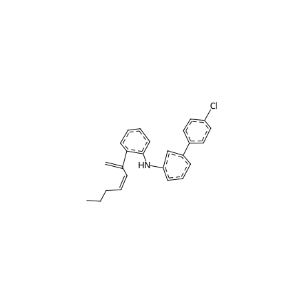 C=C(/C=C\CCC)c1ccccc1Nc1cccc(-c2ccc(Cl)cc2)c1